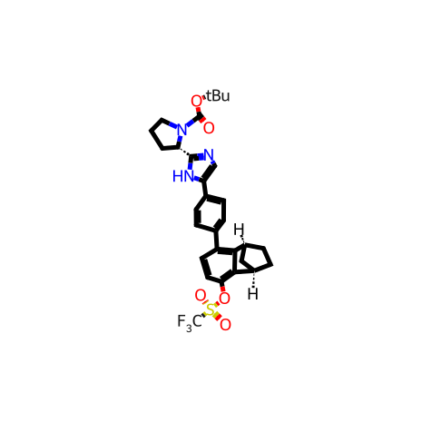 CC(C)(C)OC(=O)N1CCC[C@H]1c1ncc(-c2ccc(-c3ccc(OS(=O)(=O)C(F)(F)F)c4c3[C@H]3CC[C@@H]4C3)cc2)[nH]1